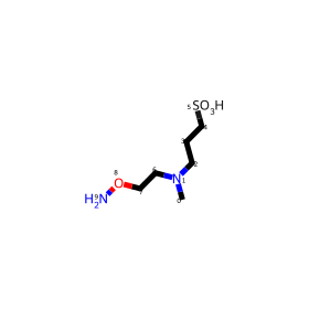 CN(CCCS(=O)(=O)O)CCON